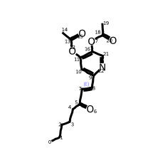 CCCCCC(=O)/C=C/c1cc(OC(C)=O)c(OC(C)=O)cn1